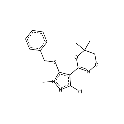 Cn1nc(Cl)c(C2=NOCC(C)(C)O2)c1SCc1ccccc1